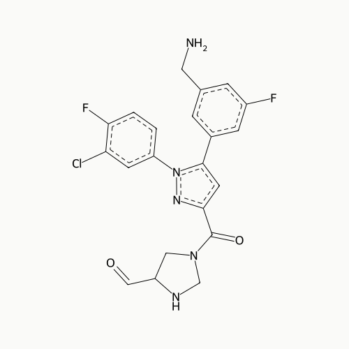 NCc1cc(F)cc(-c2cc(C(=O)N3CNC(C=O)C3)nn2-c2ccc(F)c(Cl)c2)c1